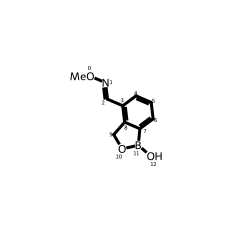 CO/N=C/c1cccc2c1COB2O